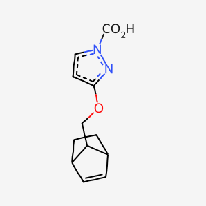 O=C(O)n1ccc(OCC2C3C=CC2CC3)n1